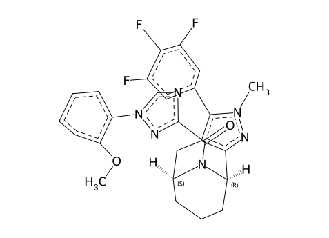 COc1ccccc1-n1cnc(C(=O)N2[C@H]3CCC[C@@H]2c2nn(C)c(-c4cc(F)c(F)c(F)c4)c2C3)n1